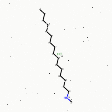 CCCCCCCCCCCCCCCCNC.Cl